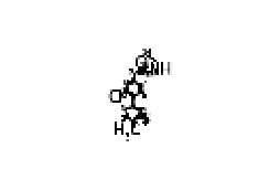 Cc1ccc(-c2ccc(CC3CNCCO3)cc2Cl)cc1F